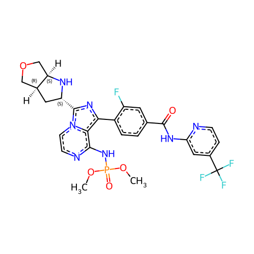 COP(=O)(Nc1nccn2c([C@@H]3C[C@H]4COC[C@H]4N3)nc(-c3ccc(C(=O)Nc4cc(C(F)(F)F)ccn4)cc3F)c12)OC